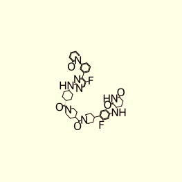 O=C1CCC(Nc2ccc(C3CCN(C(=O)C4CCN(C(=O)[C@H]5CC[C@H](Nc6ncc(F)c(-c7cccc(-n8ccccc8=O)c7)n6)CC5)CC4)CC3)c(F)c2)C(=O)N1